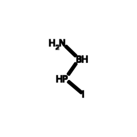 NBPI